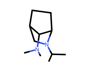 CC(C)N1CC2CCC1C2N(C)C